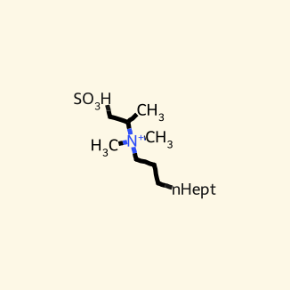 CCCCCCCCCC[N+](C)(C)C(C)CS(=O)(=O)O